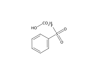 O=C(O)O.O=S(=O)(F)c1ccccc1